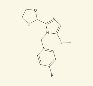 CSc1cnc(C2OCCO2)n1Cc1ccc(F)cc1